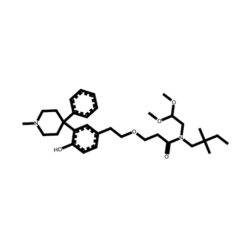 CCC(C)(C)CN(CC(OC)OC)C(=O)CCOCCc1ccc(O)c(C2(c3ccccc3)CCN(C)CC2)c1